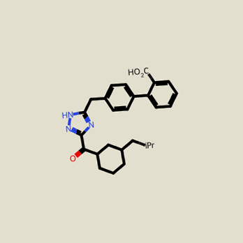 CC(C)CC1CCCC(C(=O)c2n[nH]c(Cc3ccc(-c4ccccc4C(=O)O)cc3)n2)C1